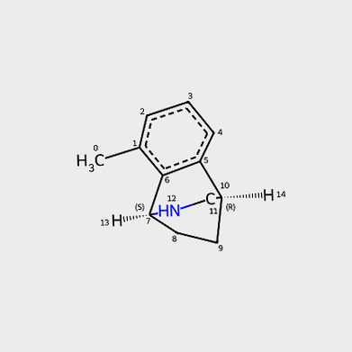 Cc1cccc2c1[C@@H]1CC[C@H]2CN1